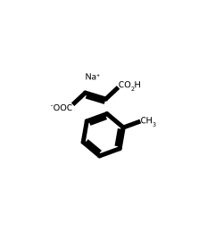 Cc1ccccc1.O=C([O-])/C=C/C(=O)O.[Na+]